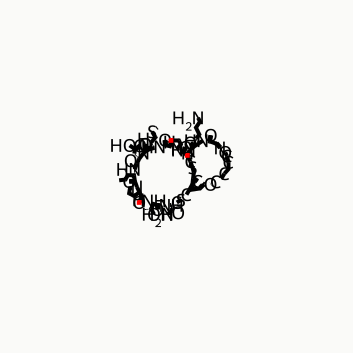 CC[C@H](C)[C@@H]1NC(=O)[C@H](CC(=O)O)NC(=O)[C@H](CCSC)NC(=O)[C@@H]2CCCN2C(=O)[C@@H]2CSCc3cc(cc(c3)OCCCCCCO/N=C/C(=O)N[C@@H](CCCCN)C(=O)N2)CSC[C@@H](C(N)=O)NC(=O)[C@H]([C@@H](C)O)NC(=O)[C@@H]2CCCN2C1=O